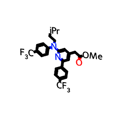 COC(=O)Cc1cc(-c2ccc(C(F)(F)F)cc2)nc(N(CCC(C)C)c2ccc(C(F)(F)F)cc2)c1